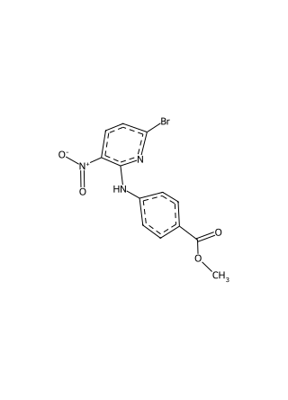 COC(=O)c1ccc(Nc2nc(Br)ccc2[N+](=O)[O-])cc1